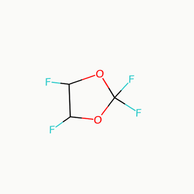 FC1OC(F)(F)OC1F